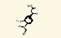 CCC(CC(=O)OC)c1ccc(N(CC(C)C)C(C)C)c([N+](=O)[O-])c1